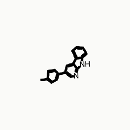 Cc1ccc(-c2cnc3[nH]c4ccccc4c3c2)cc1